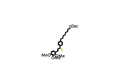 CCCCCCCCCCCCCCCCCCc1ccc(C(=S)C=Cc2ccc(OC)c(OC)c2OC)cc1